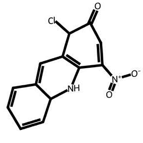 O=C1C=C([N+](=O)[O-])C2=C(C=C3C=CC=CC3N2)C1Cl